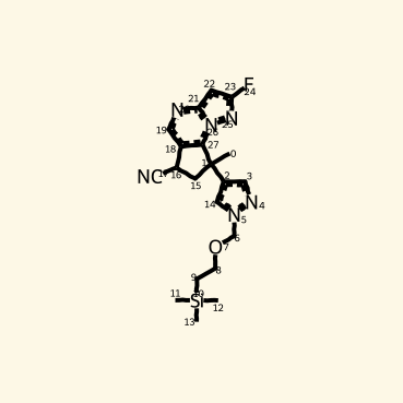 CC1(c2cnn(COCC[Si](C)(C)C)c2)CC(C#N)c2cnc3cc(F)nn3c21